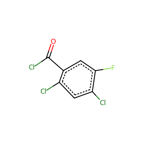 O=C(Cl)c1cc(F)c(Cl)cc1Cl